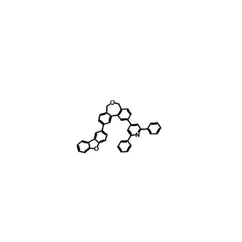 c1ccc(-c2cc(-c3ccc4c(c3)-c3cc(-c5ccc6oc7ccccc7c6c5)ccc3COC4)cc(-c3ccccc3)n2)cc1